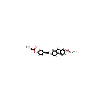 C=CC(=O)Oc1ccc(C#Cc2ccc3c(c2)Cc2cc(OCCCCC)ccc2-3)cc1